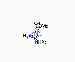 C#Cc1cc2cnc(Nc3cc(CN(C)C)cc(NC(C)=O)c3)nc2cc1OC